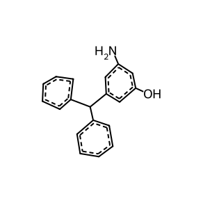 Nc1cc(O)cc(C(c2ccccc2)c2ccccc2)c1